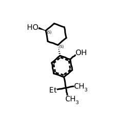 CCC(C)(C)c1ccc([C@H]2CCC[C@H](O)C2)c(O)c1